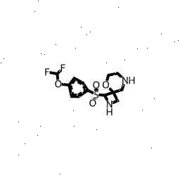 O=S(=O)(c1ccc(OC(F)F)cc1)C1NCC12CNCCO2